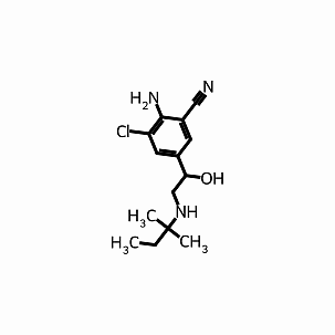 CCC(C)(C)NCC(O)c1cc(Cl)c(N)c(C#N)c1